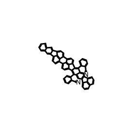 N#Cc1ccccc1-c1c2cc3c(cc2c(-c2ccccc2C#N)c2c4ccc5c6ccc7c8c(ccc(c9ccc(c12)c4c95)c86)-c1cc2ccccc2cc1-7)c1cccc2cccc3c21